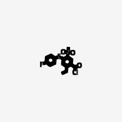 CCc1cc(Sc2ccc(F)cc2)c(S(C)(=O)=O)cc1C(=O)Cl